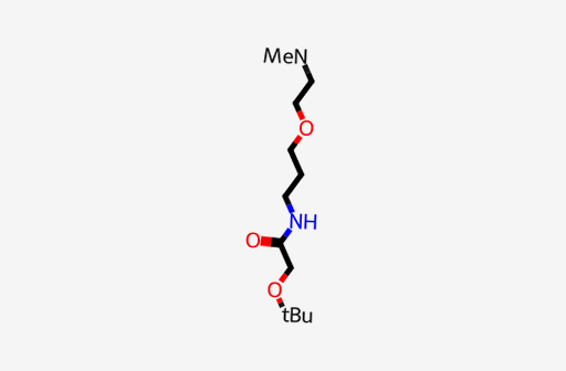 CNCCOCCCNC(=O)COC(C)(C)C